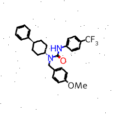 COc1ccc(CN(C(=O)Nc2ccc(C(F)(F)F)cc2)[C@H]2CC[C@H](c3ccccc3)CC2)cc1